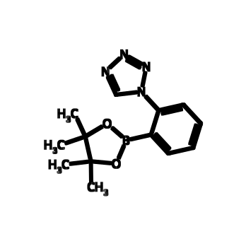 CC1(C)OB(c2ccccc2-n2cnnn2)OC1(C)C